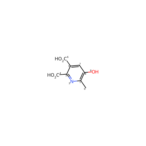 Cc1nc(C(=O)O)c(C(=O)O)cc1O